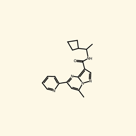 Cc1cc(-c2ccccn2)nc2c(C(=O)NC(C)C3CCC3)cnn12